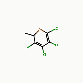 CC1SC(Cl)=C(Cl)C(Cl)=C1Cl